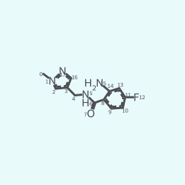 Cn1cc(CNC(=O)c2ccc(F)cc2N)cn1